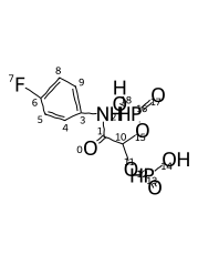 O=C(Nc1ccc(F)cc1)C(O[PH](=O)O)O[PH](=O)O